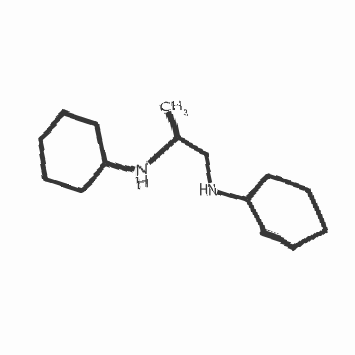 CC(CNC1CCCCC1)NC1CCCCC1